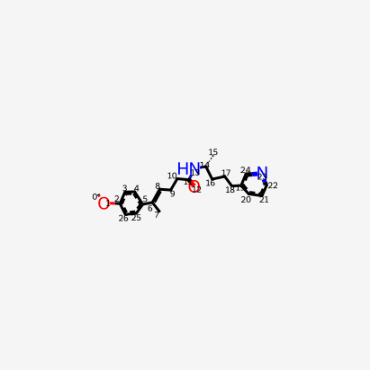 COc1ccc(C(C)=CCCC(=O)N[C@H](C)CCCc2cccnc2)cc1